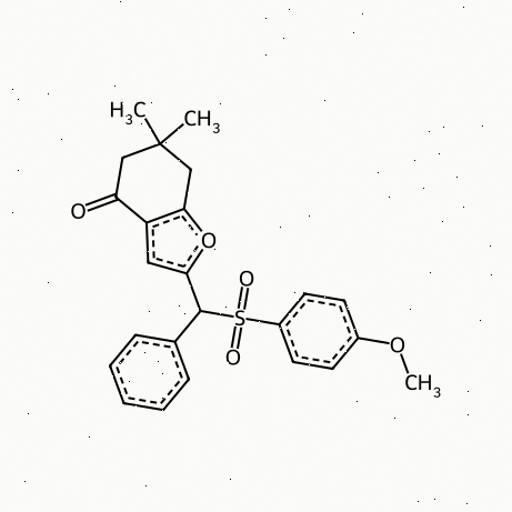 COc1ccc(S(=O)(=O)C(c2ccccc2)c2cc3c(o2)CC(C)(C)CC3=O)cc1